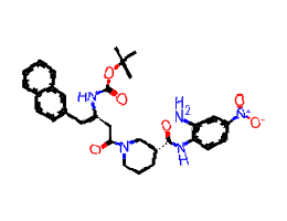 CC(C)(C)OC(=O)N[C@@H](CC(=O)N1CCC[C@@H](C(=O)Nc2ccc([N+](=O)[O-])cc2N)C1)Cc1ccc2ccccc2c1